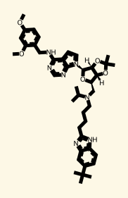 COc1ccc(CNc2ncnc3c2ccn3[C@@H]2O[C@H](CN(CCCCc3nc4cc(C(C)(C)C)ccc4[nH]3)C(C)C)[C@H]3OC(C)(C)O[C@@H]32)c(OC)c1